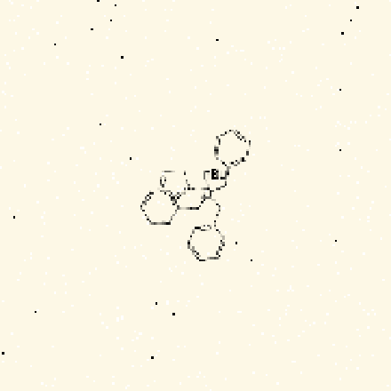 CCC[CH2][Zr]([CH2]c1ccccc1)([CH2]c1ccccc1)([CH2]c1ccccc1)[C]1=CC=CC1